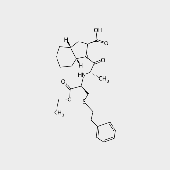 CCOC(=O)[C@H](CSCCc1ccccc1)N[C@@H](C)C(=O)N1[C@@H]2CCCC[C@@H]2C[C@H]1C(=O)O